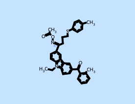 CCn1c2ccc(C(=O)c3ccccc3C)cc2c2cc(/C(CCCSc3ccc(C)cc3)=N/OC(C)=O)ccc21